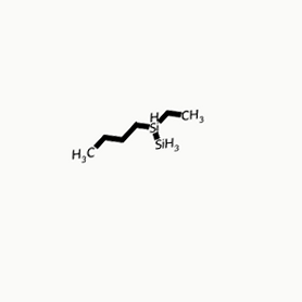 CCC[CH][SiH]([SiH3])CC